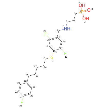 O=P(O)(O)CCCNCc1cc(F)c(SCCCCCc2ccc(F)cc2)cc1F